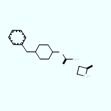 O=C(N[C@H]1CNC1=O)OC1CCC(Cc2ccccc2)CC1